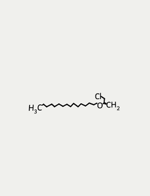 C=C(CCl)OCCCCCCCCCCCCCCCC